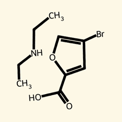 CCNCC.O=C(O)c1cc(Br)co1